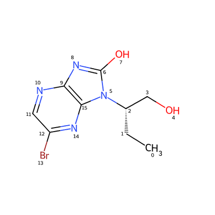 CC[C@@H](CO)n1c(O)nc2ncc(Br)nc21